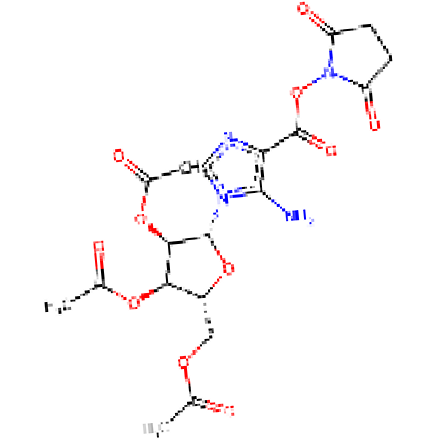 CC(=O)OC[C@H]1O[C@@H](n2cnc(C(=O)ON3C(=O)CCC3=O)c2N)[C@H](OC(C)=O)[C@@H]1OC(C)=O